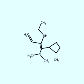 C=C/C(NCC)=C(/C1CC[C@@H]1C)N(C)C